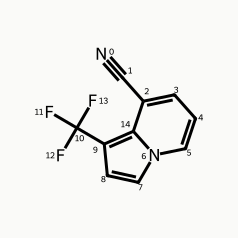 N#Cc1cccn2ccc(C(F)(F)F)c12